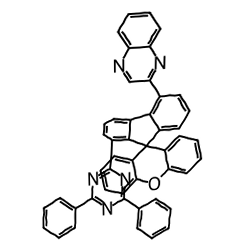 c1ccc(-c2nc(-c3ccccc3)nc(-c3cccc4c3C3(c5ccccc5Oc5ccccc53)c3cccc(-c5cnc6ccccc6n5)c3-4)n2)cc1